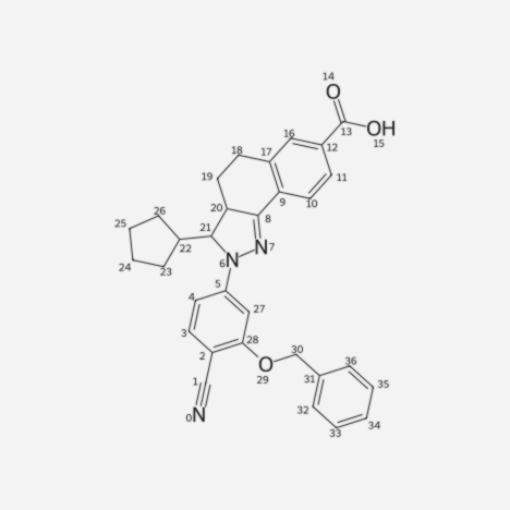 N#Cc1ccc(N2N=C3c4ccc(C(=O)O)cc4CCC3C2C2CCCC2)cc1OCc1ccccc1